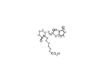 O=C(O)CCCCCCN1C(=O)CCC[C@@H]1/C=C/C(O)Cc1cccc(Cl)c1